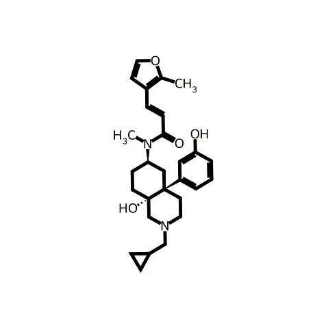 Cc1occc1/C=C/C(=O)N(C)[C@@H]1CC[C@]2(O)CN(CC3CC3)CC[C@@]2(c2cccc(O)c2)C1